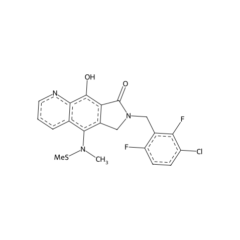 CSN(C)c1c2c(c(O)c3ncccc13)C(=O)N(Cc1c(F)ccc(Cl)c1F)C2